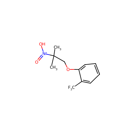 CC(C)(COc1ccccc1C(F)(F)F)[N+](=O)O